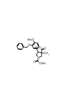 COC(=O)N1CC(c2ccc(OC)c(OCc3ccccc3)c2)C(C)(C(=O)OC)C1